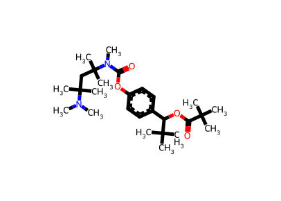 CN(C)C(C)(C)CC(C)(C)N(C)C(=O)Oc1ccc(C(OC(=O)C(C)(C)C)C(C)(C)C)cc1